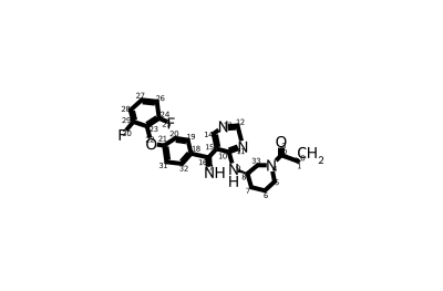 C=CC(=O)N1CCC[C@@H](Nc2ncncc2C(=N)c2ccc(Oc3c(F)cccc3F)cc2)C1